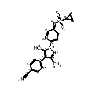 Cc1nn(C2=CCC(=NS(=O)(=O)C3CC3)C=N2)c(O)c1-c1ccc(C#N)cc1